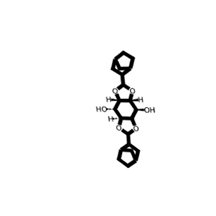 O[C@@H]1[C@@H]2OC(C3CC4CCC3C4)O[C@@H]2[C@@H](O)C2OC(C3CC4CCC3C4)O[C@H]21